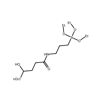 CCCCCCCCC(O)CCC(=O)NCCC[Si](OCC)(OCC)OCC